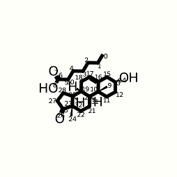 CCCCCCC(=O)O.C[C@]12CC[C@H](O)CC1=CC[C@@H]1[C@@H]2CC[C@]2(C)C(=O)CC[C@@H]12